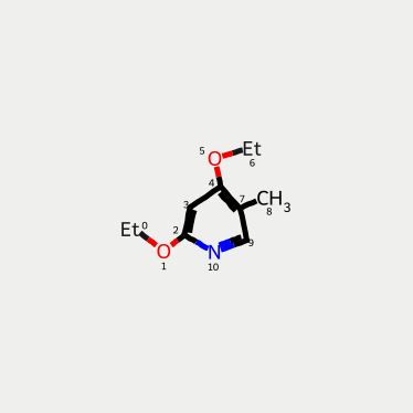 CCOc1cc(OCC)c(C)cn1